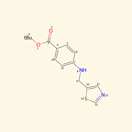 CC(C)(C)OC(=O)c1ccc(NCc2cncs2)cc1